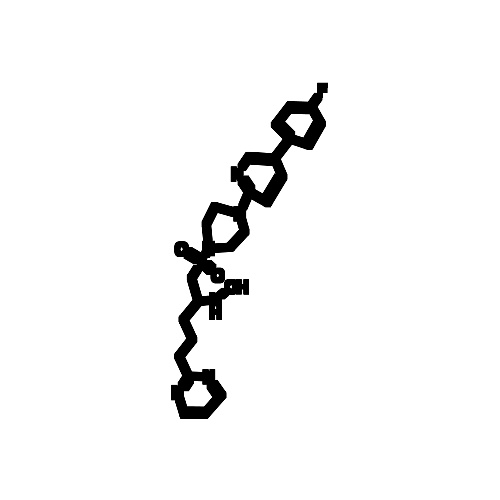 O=S(=O)(CC(CCCc1ncccn1)NO)N1CCN(c2ccc(-c3ccc(F)cc3)cn2)CC1